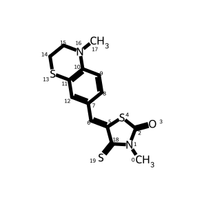 CN1C(=O)S/C(=C\c2ccc3c(c2)SCCN3C)C1=S